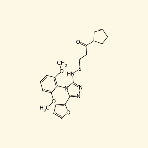 COc1cccc(OC)c1-n1c(NSCCC(=O)C2CCCC2)nnc1-c1ccco1